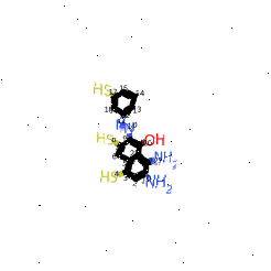 Nc1cc(S)c2cc(S)c(/N=N/c3cccc(S)c3)c(O)c2c1N